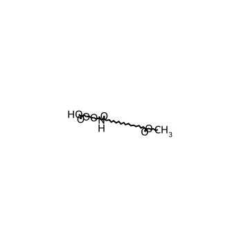 CCCCOC(=O)CCCCCCCCCCCCCCCCC(=O)NCCOCCOCC(=O)O